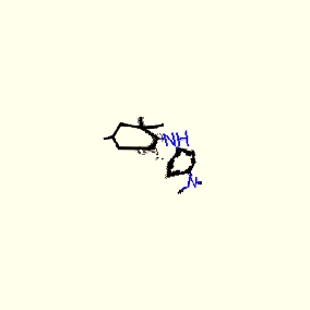 [CH2][C@@H]1CC(C)CC(C)(C)[C@H]1Nc1ccc(N(C)C)cc1